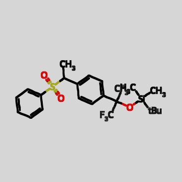 CC(c1ccc(C(O[Si](C)(C)C(C)(C)C)(C(F)(F)F)C(F)(F)F)cc1)S(=O)(=O)c1ccccc1